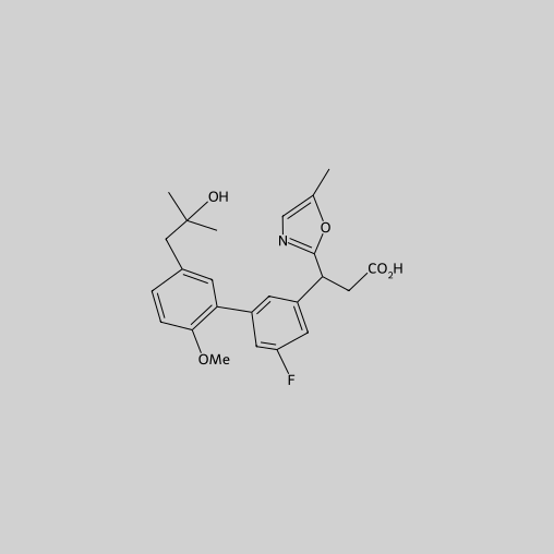 COc1ccc(CC(C)(C)O)cc1-c1cc(F)cc(C(CC(=O)O)c2ncc(C)o2)c1